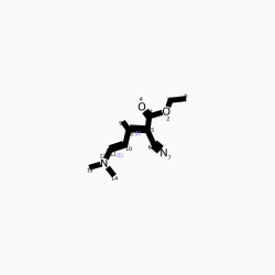 CCOC(=O)/C(C#N)=C(C)/C=C/N(C)C